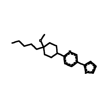 CCCCCC1(OC)CCC(c2ccc(-c3cccs3)cn2)CC1